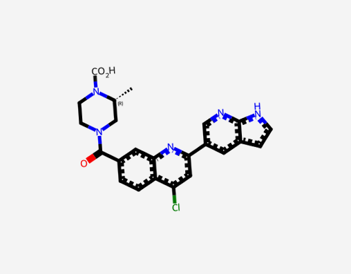 C[C@@H]1CN(C(=O)c2ccc3c(Cl)cc(-c4cnc5[nH]ccc5c4)nc3c2)CCN1C(=O)O